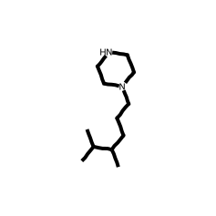 CC(C)C(C)CCCN1CCNCC1